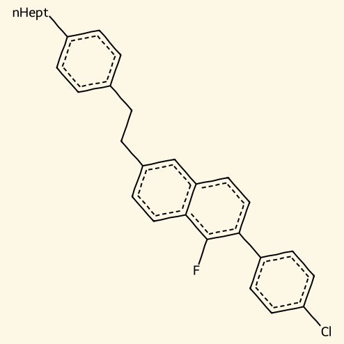 CCCCCCCc1ccc(CCc2ccc3c(F)c(-c4ccc(Cl)cc4)ccc3c2)cc1